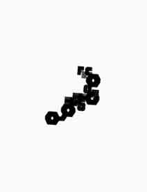 O=C(Nc1ccc(Cc2ccccc2)cc1)Nc1cccnc1Oc1cccc(C(F)(F)F)c1